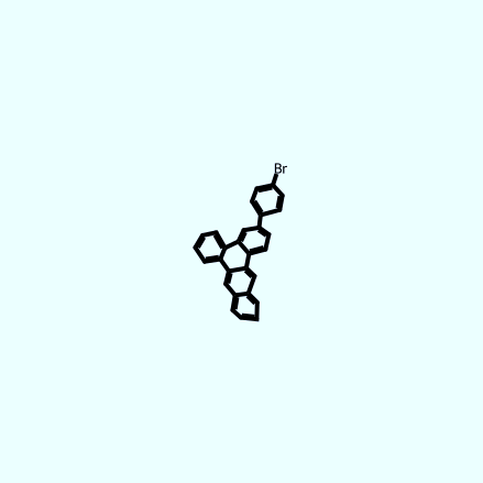 Brc1ccc(-c2ccc3c(c2)c2ccccc2c2cc4ccccc4cc32)cc1